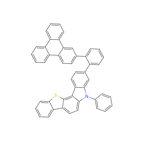 c1ccc(-n2c3cc(-c4ccccc4-c4ccc5c6ccccc6c6ccccc6c5c4)ccc3c3c4sc5ccccc5c4ccc32)cc1